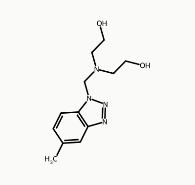 Cc1ccc2c(c1)nnn2CN(CCO)CCO